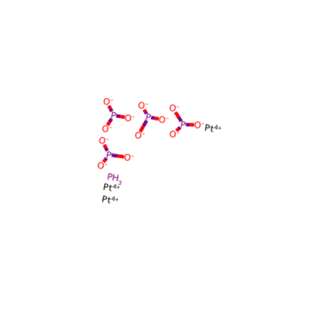 P.[O-]P([O-])[O-].[O-]P([O-])[O-].[O-]P([O-])[O-].[O-]P([O-])[O-].[Pt+4].[Pt+4].[Pt+4]